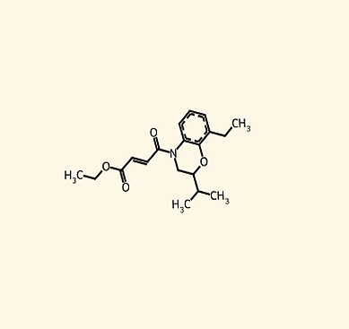 CCOC(=O)C=CC(=O)N1CC(C(C)C)Oc2c(CC)cccc21